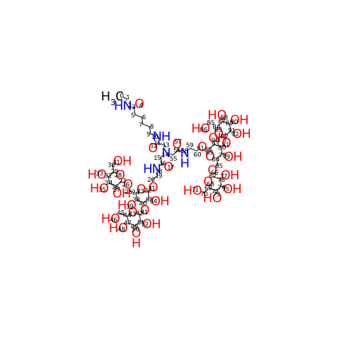 CCNC(=O)CCCCCNC(=O)CN(CC(=O)NCCO[C@@H]1O[C@H](CO[C@H]2O[C@H](CO)[C@@H](O)[C@H](O)[C@@H]2O)[C@@H](O)[C@H](O[C@H]2O[C@H](CO)[C@@H](O)[C@H](O)[C@@H]2O)[C@H]1O)CC(=O)NCCO[C@@H]1O[C@H](CO[C@H]2O[C@H](CO)[C@@H](O)[C@H](O)[C@@H]2O)[C@@H](O)[C@H](O[C@H]2O[C@H](CO)[C@@H](O)[C@H](O)[C@@H]2O)[C@H]1O